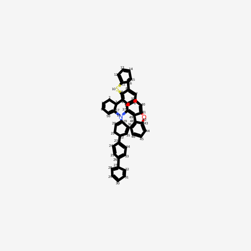 C1=CCC(c2cccc3c2sc2ccccc23)C(N(C2=CCC(c3ccc(-c4ccccc4)cc3)C=C2)c2cccc3oc4ccccc4c23)=C1